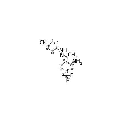 C/C(=N\Nc1ccc(Cl)cc1)c1ccc(C(F)(F)F)cc1N